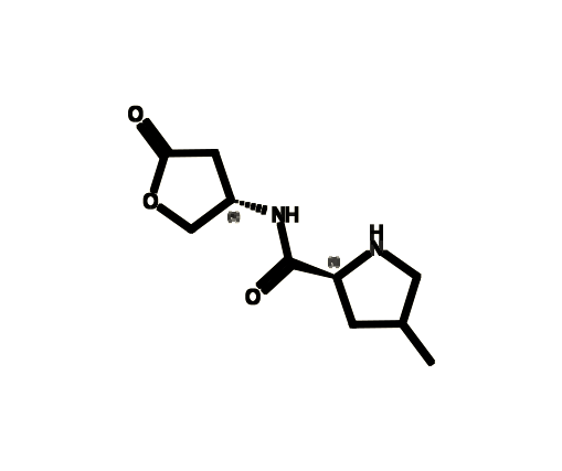 CC1CN[C@H](C(=O)N[C@@H]2COC(=O)C2)C1